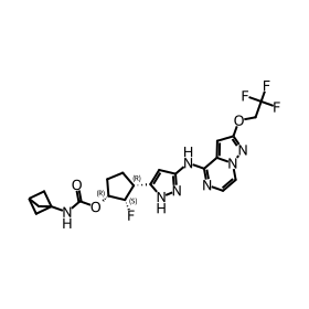 O=C(NC12CC(C1)C2)O[C@@H]1CC[C@H](c2cc(Nc3nccn4nc(OCC(F)(F)F)cc34)n[nH]2)[C@@H]1F